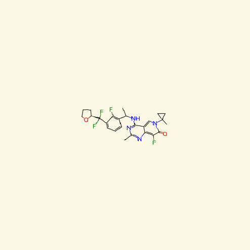 Cc1nc(NC(C)c2cccc(C(F)(F)[C@@H]3CCCO3)c2F)c2cn(C3(C)CC3)c(=O)c(F)c2n1